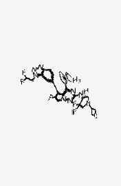 COc1nc(N[C@@H]2CN(C3COC3)CC2(F)F)nn2cc(F)c(-c3ccc4nnn(CC(F)F)c4c3)c12